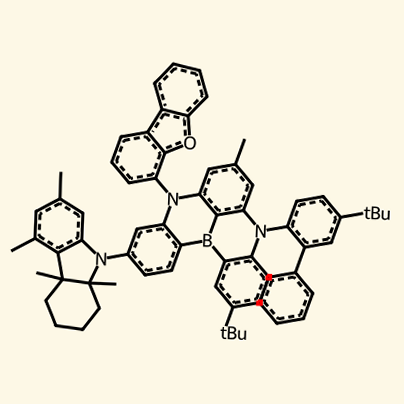 Cc1cc2c3c(c1)N(c1cccc4c1oc1ccccc14)c1cc(N4c5cc(C)cc(C)c5C5(C)CCCCC45C)ccc1B3c1cc(C(C)(C)C)ccc1N2c1ccc(C(C)(C)C)cc1-c1ccccc1